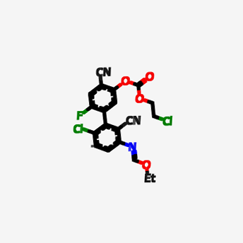 CCOC=Nc1c[c]c(Cl)c(-c2cc(OC(=O)OCCCl)c(C#N)cc2F)c1C#N